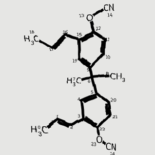 CC=Cc1cc(C(C)(C)c2ccc(OC#N)c(C=CC)c2)ccc1OC#N